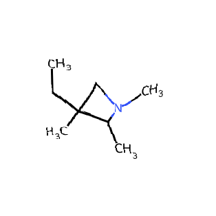 CCC1(C)CN(C)C1C